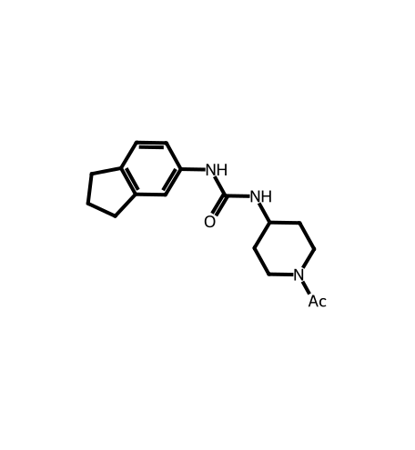 CC(=O)N1CCC(NC(=O)Nc2ccc3c(c2)CCC3)CC1